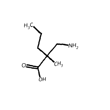 CCCC(C)(CN)C(=O)O